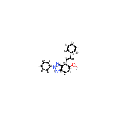 COc1ccc2nn(-c3ccccc3)nc2c1C=Cc1ccccc1